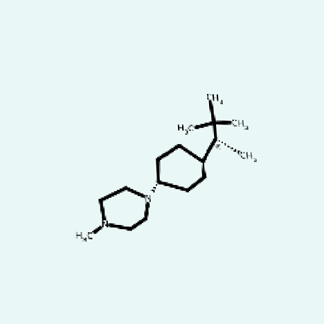 C[C@H]([C@H]1CC[C@H](N2CCN(C)CC2)CC1)C(C)(C)C